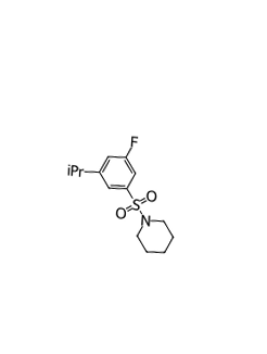 CC(C)c1cc(F)cc(S(=O)(=O)N2CCCCC2)c1